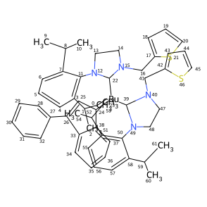 CC(C)c1cccc(C(C)C)c1N1CCN(Cc2cccs2)[CH]1[Ru](=[C]1C=C(c2ccccc2)c2ccccc21)[CH]1N(Cc2cccs2)CCN1c1c(C(C)C)cccc1C(C)C